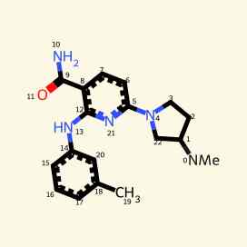 CNC1CCN(c2ccc(C(N)=O)c(Nc3cccc(C)c3)n2)C1